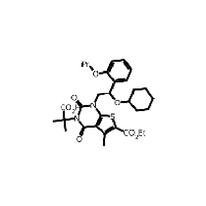 CCOC(=O)c1sc2c(c1C)c(=O)n(C(C)(C)C(=O)O)c(=O)n2C[C@H](OC1CCCCC1)c1ccccc1OC(C)C